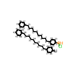 ClPc1ccc(CCCCCCCCCCc2ccccc2)cc1.[Li][c]1ccc(CCCCCCCCCCc2ccccc2)cc1